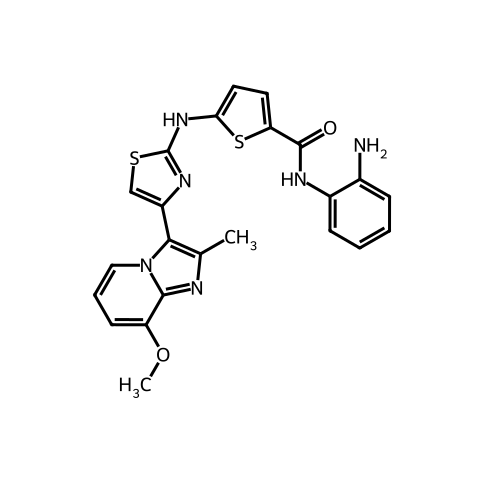 COc1cccn2c(-c3csc(Nc4ccc(C(=O)Nc5ccccc5N)s4)n3)c(C)nc12